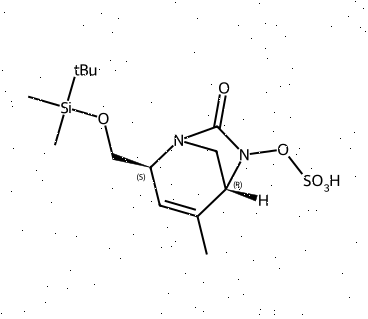 CC1=C[C@@H](CO[Si](C)(C)C(C)(C)C)N2C[C@@H]1N(OS(=O)(=O)O)C2=O